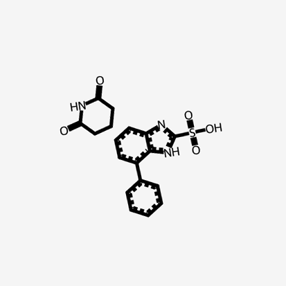 O=C1CCCC(=O)N1.O=S(=O)(O)c1nc2cccc(-c3ccccc3)c2[nH]1